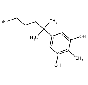 Cc1c(O)cc(C(C)(C)CCCC(C)C)cc1O